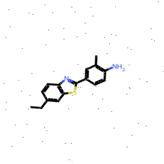 CCc1ccc2nc(-c3ccc(N)c(C)c3)sc2c1